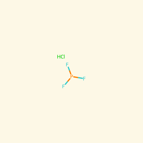 Cl.FP(F)F